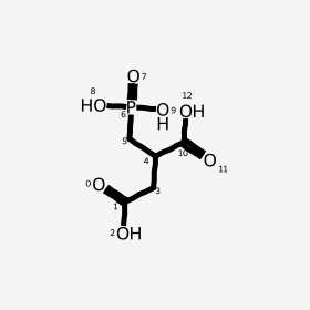 O=C(O)CC(CP(=O)(O)O)C(=O)O